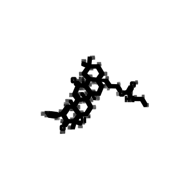 CCNC(=O)OCCC[C@]12CCC(C)(C)CC1[C@@H]1C(=O)C=C3[C@@]4(C)C=C(C#N)C(=O)C(C)(C)[C@@H]4CC[C@@]3(C)[C@]1(C)CC2